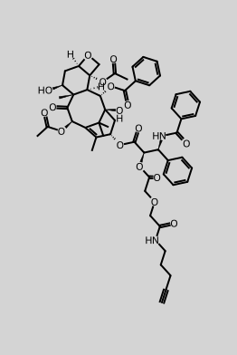 C#CCCCNC(=O)COCC(=O)O[C@@H](C(=O)O[C@H]1C[C@@]2(O)[C@@H](OC(=O)c3ccccc3)[C@@H]3[C@]4(OC(C)=O)CO[C@@H]4C[C@H](O)[C@@]3(C)C(=O)[C@H](OC(C)=O)C(=C1C)C2(C)C)[C@@H](NC(=O)c1ccccc1)c1ccccc1